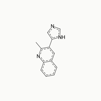 Cc1nc2ccccc2cc1-c1cnc[nH]1